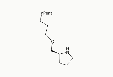 CCCCCCCCOC[C@@H]1CCCN1